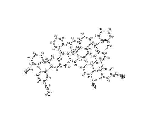 [C-]#[N+]c1cccc(-c2cc(F)c(N(c3ccccc3)c3ccc4ccc5c(N(c6ccccc6)c6cc(-c7cccc(C#N)c7)c(-c7cccc(C#N)c7)cc6F)ccc6ccc3c4c65)cc2-c2cccc(C#N)c2)c1